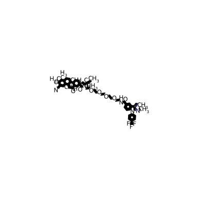 C/C=C1\C(=N/C)N(c2ccc(C(F)(F)F)cc2)c2ccc(C(=O)NCCOCCOCCOCCOCCNC(=O)[C@@]3(CCC(C)(C)CC)CCC4[C@@H](C3)C(=O)C=C3[C@@]5(C)C=C(C#N)C(=O)C(C)(C)C5CC[C@]34C)cc21